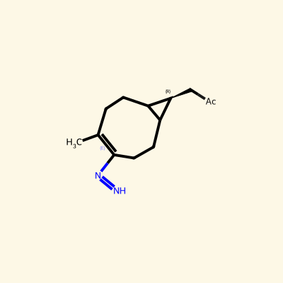 CC(=O)C[C@@H]1C2CC/C(C)=C(/N=N)CCC21